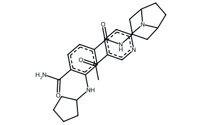 CC(=O)c1ccc(N2C3CCC2CC(NC(=O)c2ccc(C(N)=O)c(NC4CCCC4)c2)C3)nc1